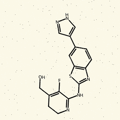 OCC1=C(F)C(Nc2nc3ccc(-c4cn[nH]c4)cc3s2)=NCC1